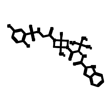 CC(C)(C)[C@H](NC(=O)c1cc2ccccc2[nH]1)C(=O)N1C[C@H]2N(C(=O)CNS(=O)(=O)c3cc(Cl)ccc3Cl)CC21C